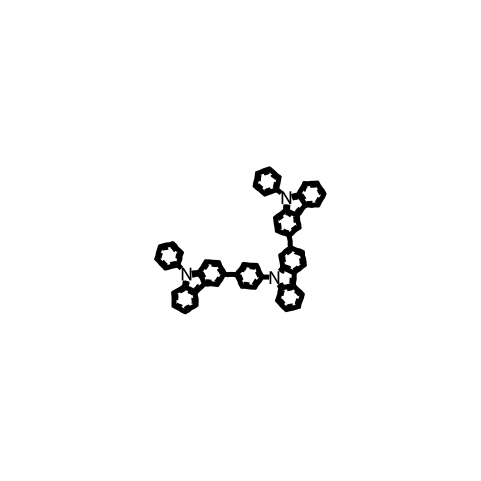 c1ccc(-n2c3ccccc3c3cc(-c4ccc(-n5c6ccccc6c6ccc(-c7ccc8c(c7)c7ccccc7n8-c7ccccc7)cc65)cc4)ccc32)cc1